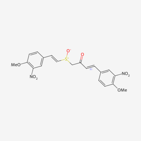 COc1ccc(C=C[S+]([O-])CC(=O)/C=C/c2ccc(OC)c([N+](=O)[O-])c2)cc1[N+](=O)[O-]